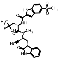 C#C[C@H](C[C@H]1C(=O)Nc2ccccc21)N(C)C(=O)[C@H](CC(C)(C)F)NC(=O)c1cc2cc(S(C)(=O)=O)ccc2[nH]1